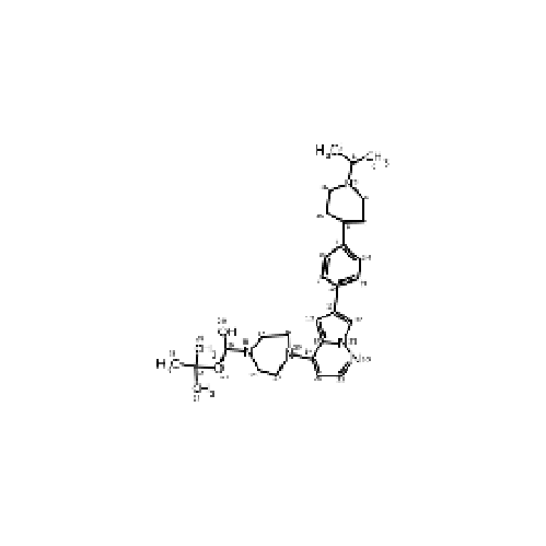 CC(C)N1CCC(c2ccc(-c3cc4c(N5CCN(C(O)OC(C)(C)C)CC5)ccnn4c3)cc2)CC1